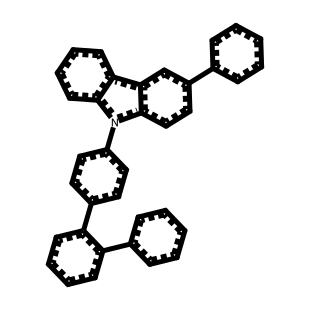 c1ccc(-c2ccc3c(c2)c2ccccc2n3-c2ccc(-c3ccccc3-c3ccccc3)cc2)cc1